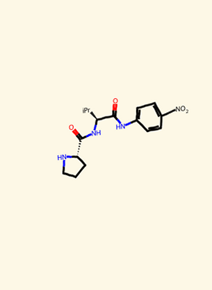 CC(C)[C@H](NC(=O)[C@@H]1CCCN1)C(=O)Nc1ccc([N+](=O)[O-])cc1